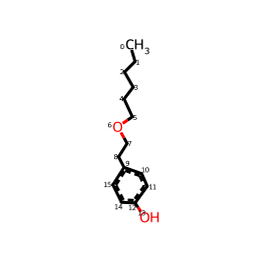 CCCCCCOCCc1ccc(O)cc1